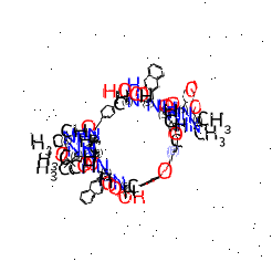 CN[C@@H](C)C(=O)N[C@H](C(=O)N1C[C@@H]2C[C@H]1C(=O)N[C@@H](Cc1ccc3ccccc3c1)C(=O)N[C@H](C(=O)O)Cc1ccc(cc1)C(=O)N[C@H]1C[C@@H](C(=O)N[C@@H](Cc3ccc4ccccc4c3)C(=O)N[C@H](C(=O)O)Cc3ccc(cc3)OC/C=C/CO2)N(C(=O)[C@@H](NC(=O)[C@H](C)NC)C(C)(C)C)C1)C1CCOCC1